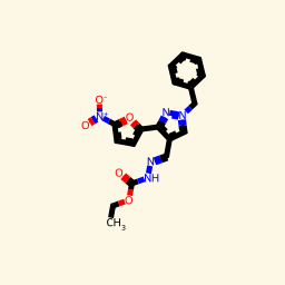 CCOC(=O)NN=Cc1cn(Cc2ccccc2)nc1-c1ccc([N+](=O)[O-])o1